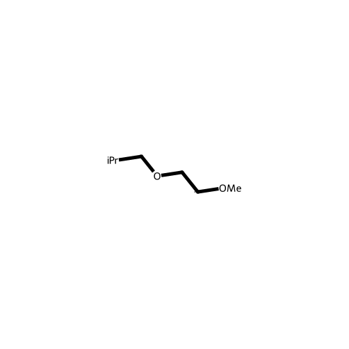 CO[CH]COCC(C)C